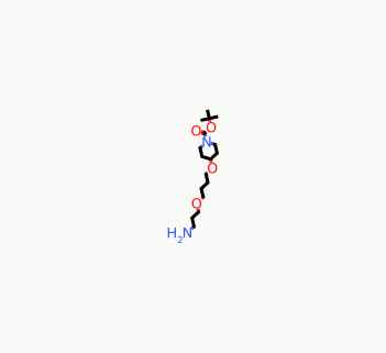 CC(C)(C)OC(=O)N1CCC(OCCCCOCCCN)CC1